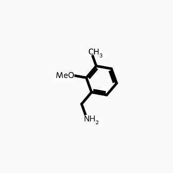 COc1c(C)cccc1CN